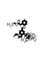 CCOC(=O)Cc1ccccc1OCc1cc(B2OC(C)(C)C(C)(C)O2)c2ccn(CI)c2c1